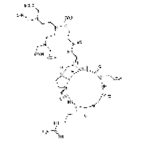 N=C(N)NCCC[C@@H]1NC(=O)[C@@H]2CC[C@H]3C[C@@H](CNC(=O)CC[C@@H](C(=O)O)N(CCN(CC=O)CC(=O)O)CCN(CC(=O)O)CC(=O)O)[C@@H](NC(=O)[C@H](CC(=O)O)NC(=O)CNC1=O)C(=O)N32